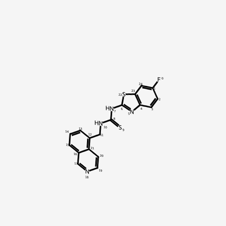 Fc1ccc2nc(NC(=S)NCc3cccc4cnccc34)sc2c1